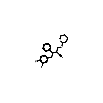 N#CC(COC1CCCCO1)C([CH]c1ccc(F)c(F)c1)c1ccccc1